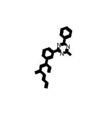 C=C/C=C/C(=C)/C=C(\C=C)c1cccc(-c2nc(C)nc(-c3ccccc3)n2)c1